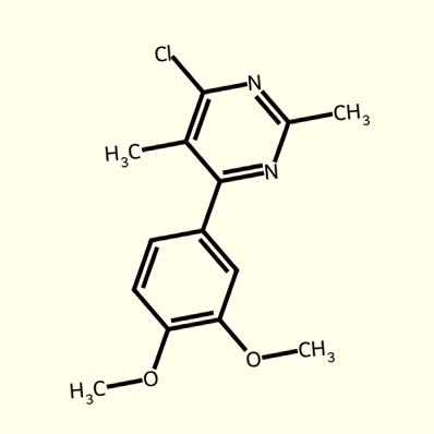 COc1ccc(-c2nc(C)nc(Cl)c2C)cc1OC